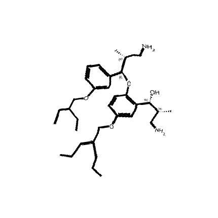 CCCC(CCC)COc1ccc(O[C@@H](c2cccc(OCC(CC)CC)c2)[C@H](C)CN)c([C@H](O)[C@H](C)CN)c1